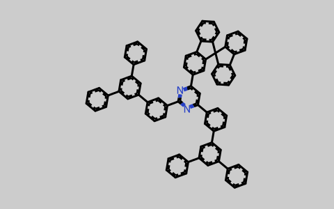 c1ccc(-c2cc(-c3ccccc3)cc(-c3cccc(-c4cc(-c5ccc6c(c5)C5(c7ccccc7-c7ccccc75)c5ccccc5-6)nc(-c5cccc(-c6cc(-c7ccccc7)cc(-c7ccccc7)c6)c5)n4)c3)c2)cc1